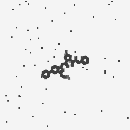 NCc1nn(CC(=O)N2C[C@H](F)C[C@H]2C(=O)NCc2ccccn2)c2ccc(-c3ccnnc3)cc12